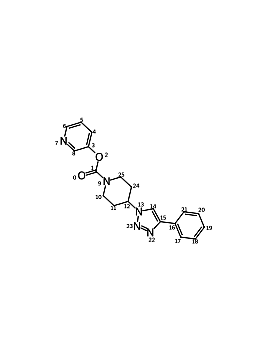 O=C(Oc1cccnc1)N1CCC(n2cc(-c3ccccc3)nn2)CC1